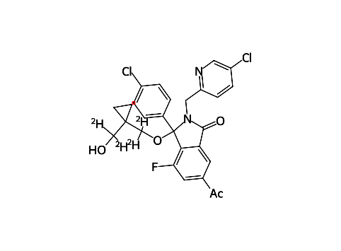 [2H]C([2H])(O)C1(C([2H])([2H])OC2(c3ccc(Cl)cc3)c3c(F)cc(C(C)=O)cc3C(=O)N2Cc2ccc(Cl)cn2)CC1